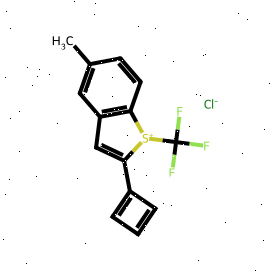 Cc1ccc2c(c1)cc(C1=CC=C1)[s+]2C(F)(F)F.[Cl-]